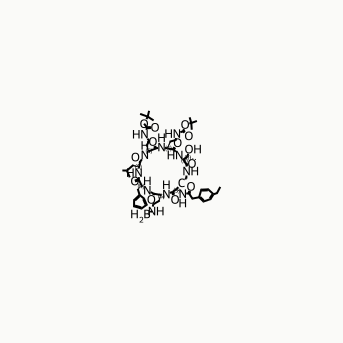 BNCC[C@@H]1NC(=O)[C@@H](NC(=O)Cc2ccc(CC)cc2)CCNC(=O)[C@H]([C@@H](C)O)NC(=O)[C@H](CCNC(=O)OC(C)(C)C)NC(=O)[C@H](CCNC(=O)OC(C)(C)C)NC(=O)[C@H](CC(C)C)NC(=O)[C@@H](Cc2ccccc2)NC1=O